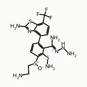 NCC[S+]([O-])c1ccc(-c2ccc(C(F)(F)F)c3sc(N)nc23)c(/C(N)=N/NN)c1SN